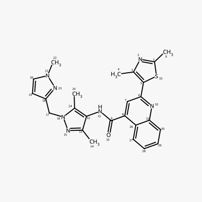 Cc1nc(C)c(-c2cc(C(=O)Nc3c(C)nn(Cc4ccn(C)n4)c3C)c3ccccc3n2)s1